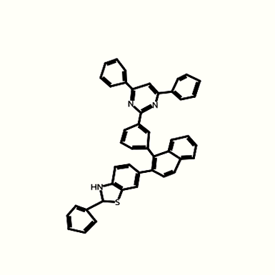 c1ccc(-c2cc(-c3ccccc3)nc(-c3cccc(-c4c(-c5ccc6c(c5)SC(c5ccccc5)N6)ccc5ccccc45)c3)n2)cc1